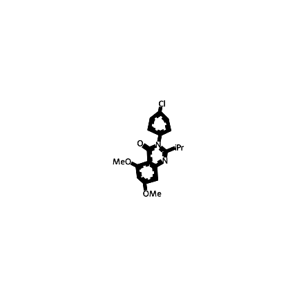 COc1cc(OC)c2c(=O)n(-c3ccc(Cl)cc3)c(C(C)C)nc2c1